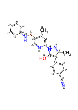 Cc1cc(-n2nc(C)c(-c3ccc(C#N)cc3)c2O)ncc1SNc1ccccc1